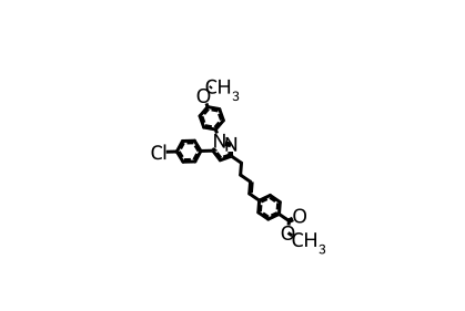 COC(=O)c1ccc(C=CCCc2cc(-c3ccc(Cl)cc3)n(-c3ccc(OC)cc3)n2)cc1